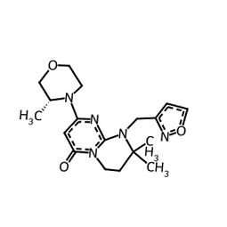 C[C@@H]1COCCN1c1cc(=O)n2c(n1)N(Cc1ccon1)C(C)(C)CC2